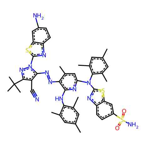 Cc1cc(C)c(Nc2nc(N(c3nc4ccc(S(N)(=O)=O)cc4s3)c3c(C)cc(C)cc3C)cc(C)c2N=Nc2c(C#N)c(C(C)(C)C)nn2-c2nc3ccc(N)cc3s2)c(C)c1